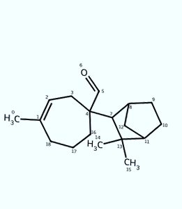 CC1=CCC(C=O)(C2C3CCC(C3)C2(C)C)CCC1